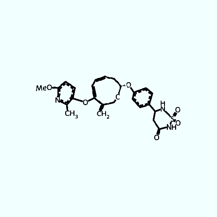 C=C1CC[C@@H](Oc2ccc(C3CC(=O)NS(=O)(=O)N3)cc2)C/C=C\C=C/1Oc1ccc(OC)nc1C